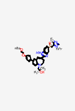 CCCCOCCOc1ccc(-c2ccc3c(c2)/C=C(/c2nc4cc([S+]([O-])Cc5c(C)ncn5CCC)ccc4[nH]2)CCCN3CC(C)(C)O)cc1